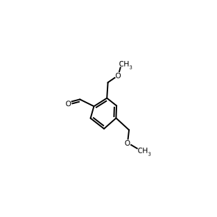 COCc1ccc(C=O)c(COC)c1